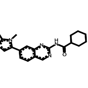 Cc1ncc(-c2ccc3cnc(NC(=O)C4CCCCC4)nc3c2)n1C